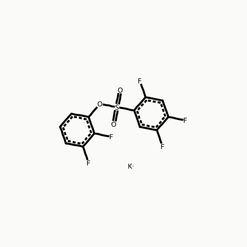 O=S(=O)(Oc1cccc(F)c1F)c1cc(F)c(F)cc1F.[K]